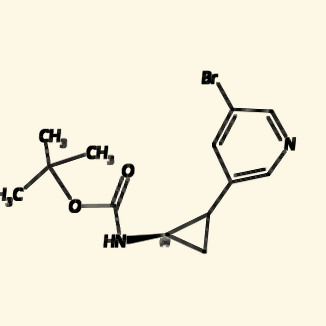 CC(C)(C)OC(=O)N[C@@H]1CC1c1cncc(Br)c1